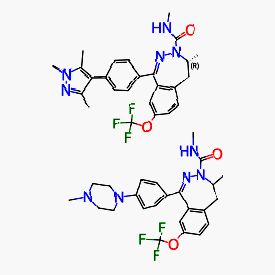 CNC(=O)N1N=C(c2ccc(-c3c(C)nn(C)c3C)cc2)c2cc(OC(F)(F)F)ccc2C[C@H]1C.CNC(=O)N1N=C(c2ccc(N3CCN(C)CC3)cc2)c2cc(OC(F)(F)F)ccc2CC1C